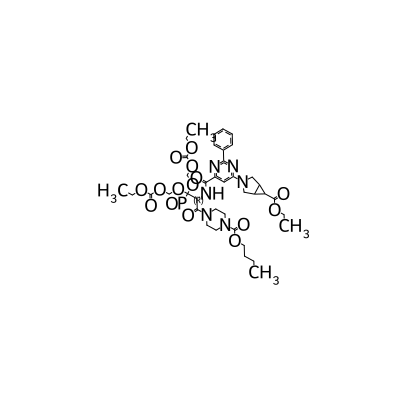 CCCCOC(=O)N1CCN(C(=O)[C@@H](NC(=O)c2cc(N3CC4C(C3)C4C(=O)OCC)nc(-c3ccccc3)n2)C(OCOC(=O)OCC)(OCOC(=O)OCC)P=O)CC1